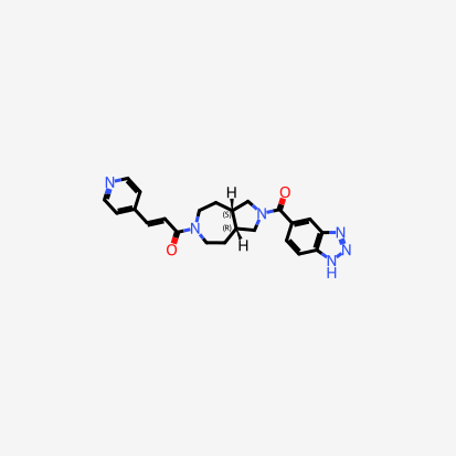 O=C(C=Cc1ccncc1)N1CC[C@@H]2CN(C(=O)c3ccc4[nH]nnc4c3)C[C@@H]2CC1